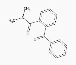 CN(C)C(=O)c1ccccc1C(=O)c1ccccc1